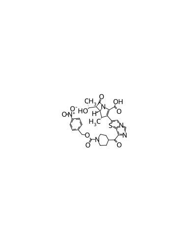 C[C@@H](O)[C@H]1C(=O)N2C(C(=O)O)=C(c3cn4cnc(C(=O)C5CCN(C(=O)OCc6ccc([N+](=O)[O-])cc6)CC5)c4s3)[C@H](C)[C@H]12